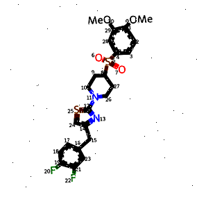 COc1ccc(S(=O)(=O)C2CCN(c3nc(Cc4ccc(F)c(F)c4)cs3)CC2)cc1OC